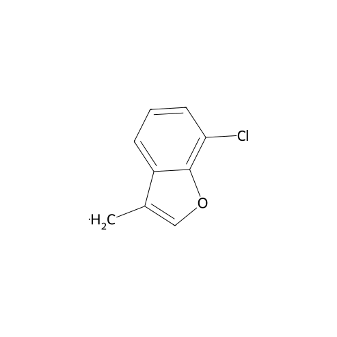 [CH2]c1coc2c(Cl)cccc12